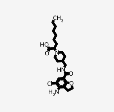 CCCCCCCC(C(=O)O)N1CCC(CNC(=O)c2cc(Cl)c(N)c3c2OCC3)CC1